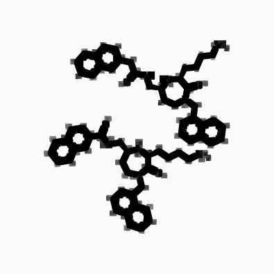 NCCCC[C@@H]1N[C@H](CNC(=O)Cc2ccc3ccccc3c2)CCN(Cc2cccc3ccccc23)C1=O.NCCCC[C@@H]1N[C@H](CNC(=O)c2ccc3ccccc3c2)CCN(Cc2cccc3ccccc23)C1=O